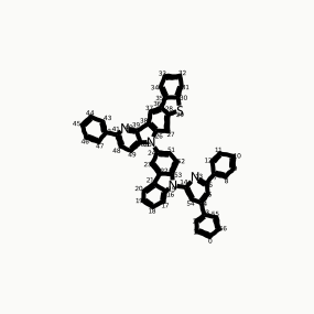 c1ccc(-c2cc(-c3ccccc3)nc(-n3c4ccccc4c4cc(-n5c6cc7sc8ccccc8c7cc6c6nc(-c7ccccc7)ccc65)ccc43)c2)cc1